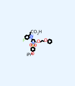 CC(C)Oc1ccc(S(=O)(=O)N2C[C@H](n3nc(CC(=O)O)c4ccc(F)cc43)C[C@@H]2COCCCOc2ccccc2)cc1